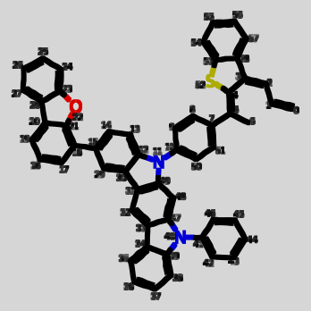 C=C/C=c1\c(=C(/C)c2ccc(-n3c4ccc(-c5cccc6c5oc5ccccc56)cc4c4cc5c6ccccc6n(-c6ccccc6)c5cc43)cc2)sc2ccccc12